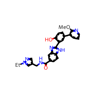 CCn1cc(CNC(=O)c2ccc3[nH]c(-c4cc(-c5cccnc5OC)ccc4O)nc3c2)cn1